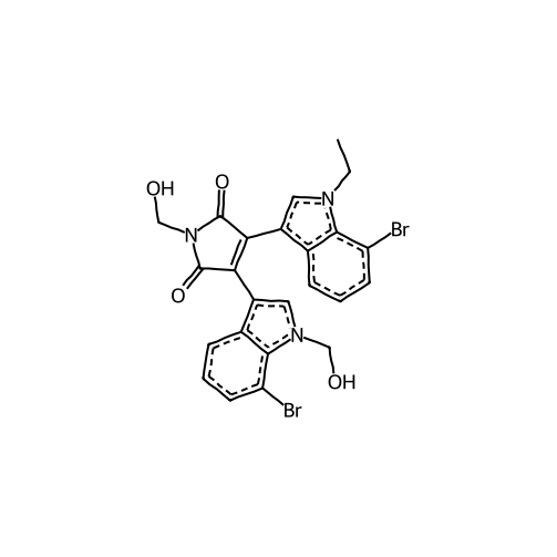 CCn1cc(C2=C(c3cn(CO)c4c(Br)cccc34)C(=O)N(CO)C2=O)c2cccc(Br)c21